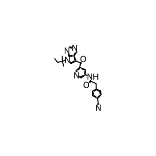 CCC(C)(C)n1cc(C(=O)c2cncc(NC(=O)Cc3ccc(C#N)cc3)c2)c2cncnc21